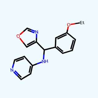 CCOc1cccc(C(Nc2ccncc2)c2cocn2)c1